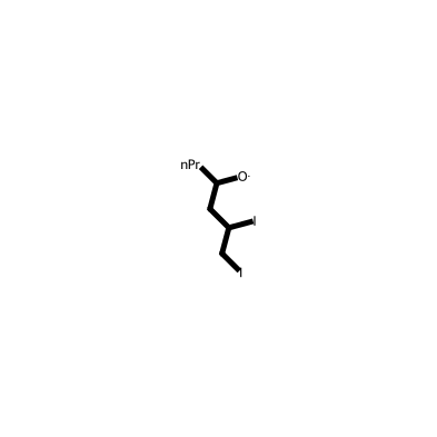 CCCC([O])CC(I)CI